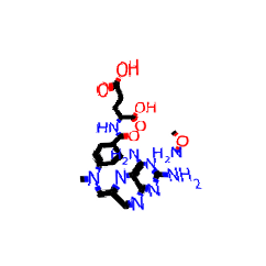 CN(Cc1cnc2nc(N)nc(N)c2n1)c1ccc(C(=O)NC(CCC(=O)O)C(=O)O)cc1.CON